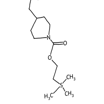 CCC1CCN(C(=O)OCCS(C)(C)C)CC1